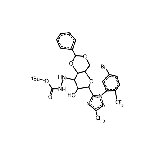 Cc1nc(C2OC3COC(c4ccccc4)OC3C(NNC(=O)OC(C)(C)C)C2O)n(-c2cc(Br)ccc2C(F)(F)F)n1